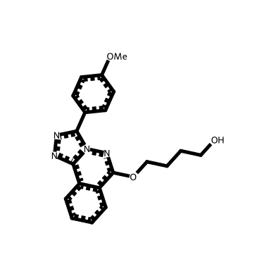 COc1ccc(-c2nnc3c4ccccc4c(OCCCCO)nn23)cc1